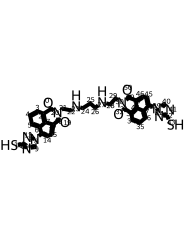 O=C1c2cccc3c(-n4cnc(S)n4)ccc(c23)C(=O)N1CCNCCCNCCN1C(=O)c2cccc3c(-n4cnc(S)n4)ccc(c23)C1=O